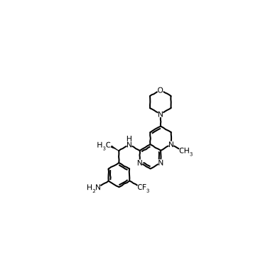 C[C@@H](Nc1ncnc2c1C=C(N1CCOCC1)CN2C)c1cc(N)cc(C(F)(F)F)c1